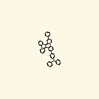 C1=CB2C(=C3C(=C4C=C(c5ccccc5)C=CN4c4ccc(-c5ccc(N(c6ccccc6)c6ccccc6)cc5)cc43)c3ccccc32)C=C1